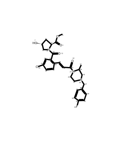 COC(=O)[C@@H]1C[C@@H](O)CN1C(=O)c1cc(Cl)ccc1C=CC(=O)N1CCN(Cc2ccc(F)cc2)CC1C